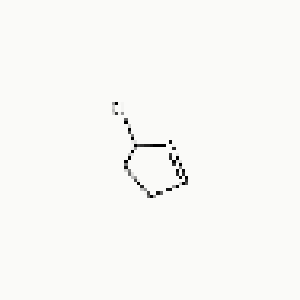 ClC1CCC=N1